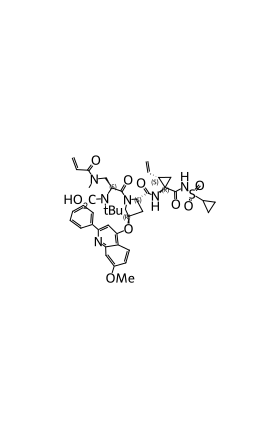 C=CC(=O)N(C)C[C@@H](C(=O)N1C[C@H](Oc2cc(-c3ccccc3)nc3cc(OC)ccc23)C[C@H]1C(=O)N[C@]1(C(=O)NS(=O)(=O)C2CC2)C[C@H]1C=C)N(C(=O)O)C(C)(C)C